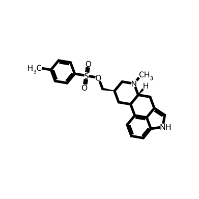 Cc1ccc(S(=O)(=O)OC[C@@H]2CC3c4cccc5[nH]cc(c45)C[C@H]3N(C)C2)cc1